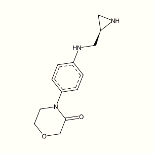 O=C1COCCN1c1ccc(NC[C@H]2CN2)cc1